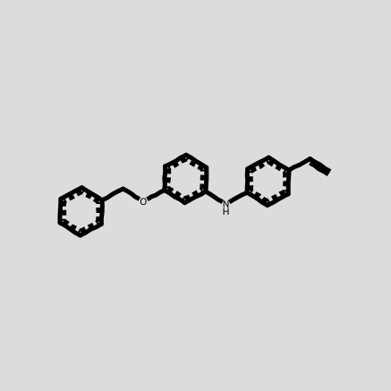 C=Cc1ccc(Nc2cccc(OCc3ccccc3)c2)cc1